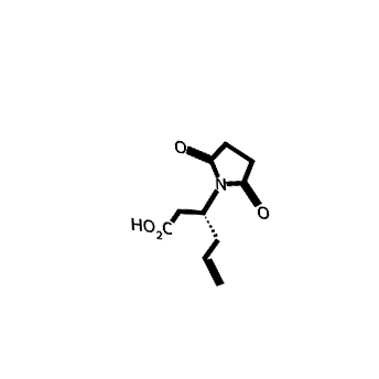 C=CC[C@H](CC(=O)O)N1C(=O)CCC1=O